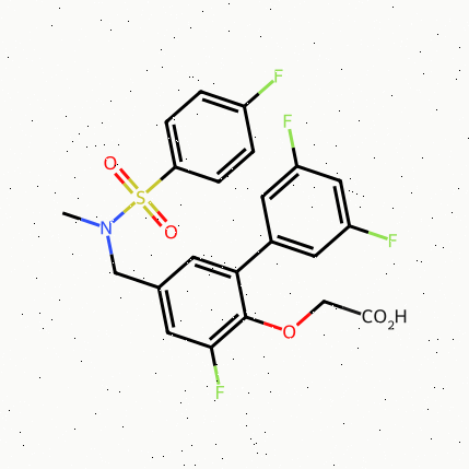 CN(Cc1cc(F)c(OCC(=O)O)c(-c2cc(F)cc(F)c2)c1)S(=O)(=O)c1ccc(F)cc1